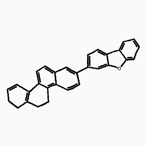 C1=CC2=C(CC1)CCc1c2ccc2cc(-c3ccc4c(c3)oc3ccccc34)ccc12